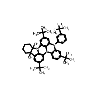 CC(C)(C)c1cccc(N2c3cc(C(C)(C)C)ccc3B3c4cc(C(C)(C)C)cc5c4N(c4cc(C(C)(C)C)cc2c43)C2(C)CCCCC52C)c1